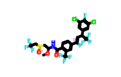 COC(C[S+]([O-])CC(F)(F)F)NC(=O)c1ccc(/C(F)=C/C(c2cc(Cl)c(F)c(Cl)c2)C(F)(F)F)cc1C(F)(F)F